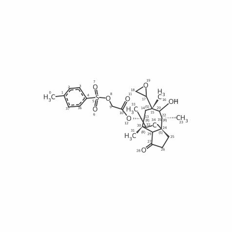 Cc1ccc(S(=O)(=O)OCC(=O)O[C@@H]2C[C@](C)(C3CO3)C(O)[C@H](C)[C@]34CCC(=O)C3[C@@]2(C)C(C)CC4)cc1